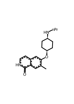 CCCN[C@H]1CC[C@@H](Oc2cc3cc[nH]c(=O)c3cc2C)CC1